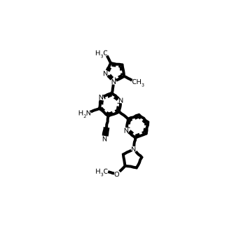 COC1CCN(c2cccc(-c3nc(-n4nc(C)cc4C)nc(N)c3C#N)n2)C1